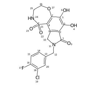 O=C1c2c(O)c(O)c3c(c2CN1Cc1ccc(F)c(Cl)c1)S(=O)(=O)NCCO3